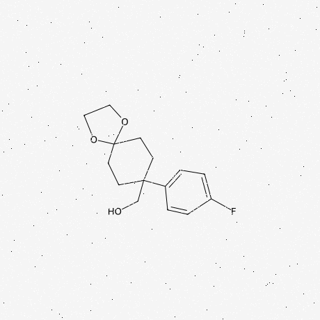 OCC1(c2ccc(F)cc2)CCC2(CC1)OCCO2